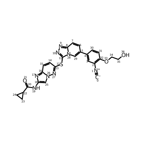 [C-]#[N+]c1cc(-c2ccc3nnc(Sc4ccc5nc(NC(=O)C6CC6)cn5n4)n3c2)ccc1OCCO